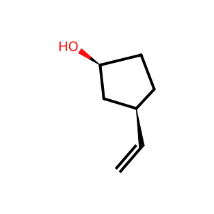 C=C[C@@H]1CC[C@H](O)C1